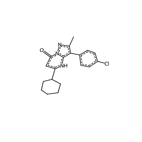 Cc1nn2c(=O)cc(C3CCCCC3)[nH]c2c1-c1ccc(Cl)cc1